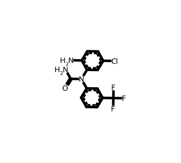 NC(=O)N(c1cccc(C(F)(F)F)c1)c1cc(Cl)ccc1N